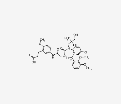 COc1ccc(NC(=O)C[C@H]2O[C@H](c3cccc(OC)c3OC)c3cc(Cl)ccc3N(CC(C)(C)CO)C2=O)cc1CCC(=O)O